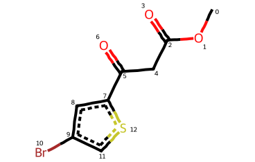 COC(=O)CC(=O)c1cc(Br)cs1